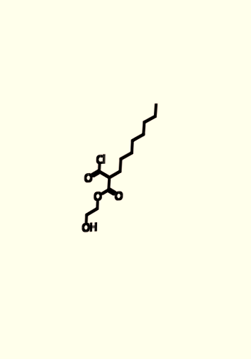 CCCCCCCCC(C(=O)Cl)C(=O)OCCO